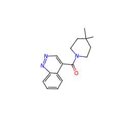 CC1(C)CCN(C(=O)c2cnnc3ccccc23)CC1